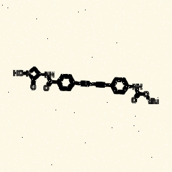 CC(C)(C)OC(=O)Nc1ccc(C#CC#Cc2ccc(C(=O)N[C@@H]3CN(O)C3=O)cc2)cc1